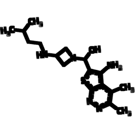 Cc1nnc2sc(C(O)N3CC(NCCC(C)C)C3)c(N)c2c1C